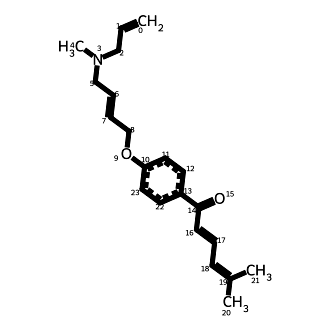 C=CCN(C)CC=CCOc1ccc(C(=O)C=CC=C(C)C)cc1